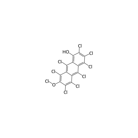 Oc1c(Cl)c(Cl)c(Cl)c2c(Cl)c3c(Cl)c(Cl)c(OCl)c(Cl)c3c(Cl)c12